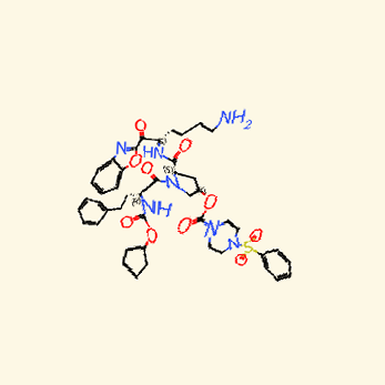 NCCCC[C@H](NC(=O)[C@@H]1C[C@@H](OC(=O)N2CCN(S(=O)(=O)c3ccccc3)CC2)CN1C(=O)[C@@H](CCc1ccccc1)NC(=O)OC1CCCC1)C(=O)c1nc2ccccc2o1